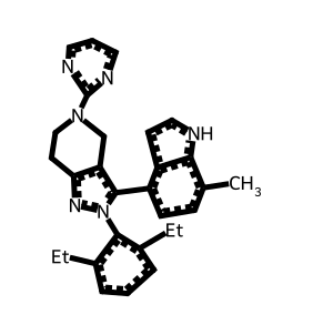 CCc1cccc(CC)c1-n1nc2c(c1-c1ccc(C)c3[nH]ccc13)CN(c1ncccn1)CC2